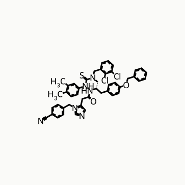 Cc1ccc(NC(=S)N(Cc2cccc(Cl)c2Cl)C[C@H](Cc2ccc(OCc3ccccc3)cc2)NC(=O)Cc2cncn2Cc2ccc(C#N)cc2)cc1C